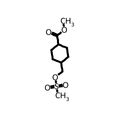 COC(=O)C1CCC(COS(C)(=O)=O)CC1